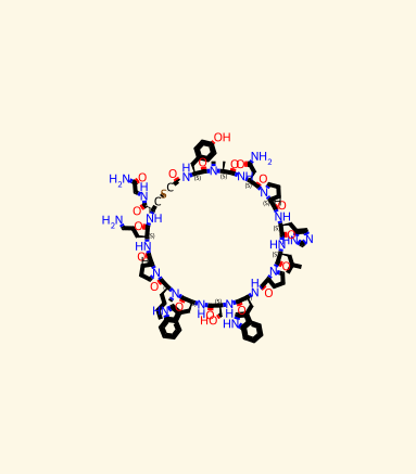 CCCC[C@H]1C(=O)N2CCC[C@@H]2C(=O)N[C@@H](CCCN)C(=O)N[C@H](C(=O)NCC(N)=O)CSCC(=O)N[C@@H](Cc2ccc(O)cc2)C(=O)N(C)[C@@H](C)C(=O)N[C@@H](CC(N)=O)C(=O)N2CCC[C@H]2C(=O)N[C@@H](Cc2cnc[nH]2)C(=O)N[C@@H](CC(C)C)C(=O)N2CCCC2C(=O)N[C@@H](Cc2c[nH]c3ccccc23)C(=O)N[C@@H](CO)C(=O)N[C@@H](Cc2c[nH]c3ccccc23)C(=O)N1C